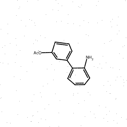 CC(=O)Oc1cccc(-c2ccccc2N)c1